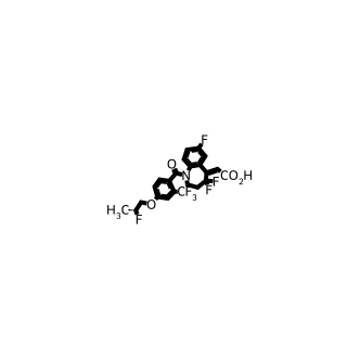 C[C@@H](F)COc1ccc(C(=O)N2CCC(F)(F)C(=CC(=O)O)c3cc(F)ccc32)c(C(F)(F)F)c1